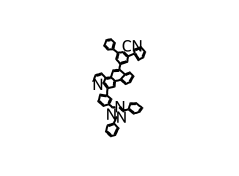 N#Cc1c(-c2ccccc2)cc(-c2cc3c4cccnc4c(-c4cccc(-c5nc(-c6ccccc6)nc(-c6ccccc6)n5)c4)cc3c3ccccc23)cc1-c1ccccc1